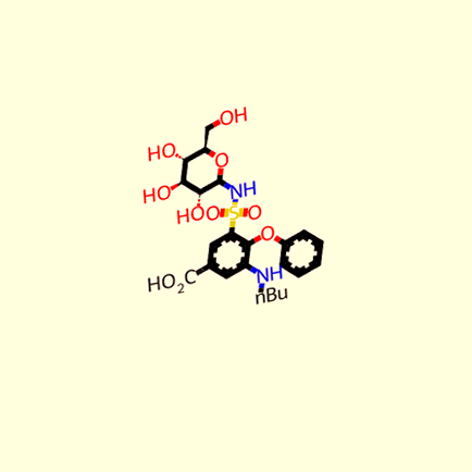 CCCCNc1cc(C(=O)O)cc(S(=O)(=O)NC2O[C@H](CO)[C@@H](O)[C@H](O)[C@H]2O)c1Oc1ccccc1